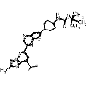 Cc1nc2c(C(F)F)cc(-c3cnc4cc(C5CCC(NC(=O)OC(C)(C)C)CC5)sc4n3)nn2n1